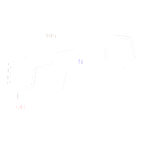 Br.Oc1cccc2c1CCC1C2CCN1Cc1ccccc1